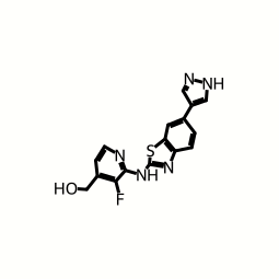 OCc1ccnc(Nc2nc3ccc(-c4cn[nH]c4)cc3s2)c1F